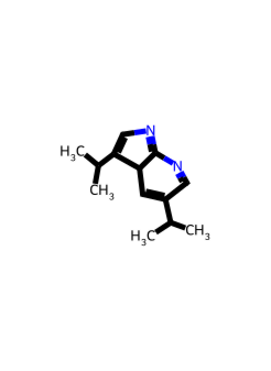 CC(C)C1=CC2C(C(C)C)=CN=C2N=C1